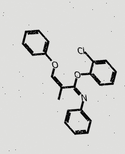 CC(=COc1ccccc1)C(=Nc1ccccc1)Oc1ccccc1Cl